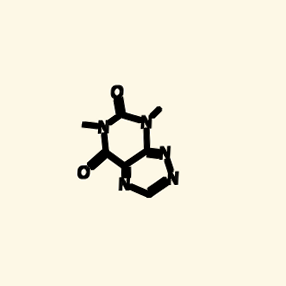 Cn1c(=O)c2ncnnc2n(C)c1=O